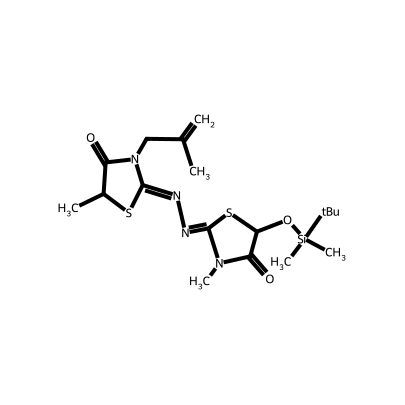 C=C(C)CN1C(=O)C(C)SC1=NN=C1SC(O[Si](C)(C)C(C)(C)C)C(=O)N1C